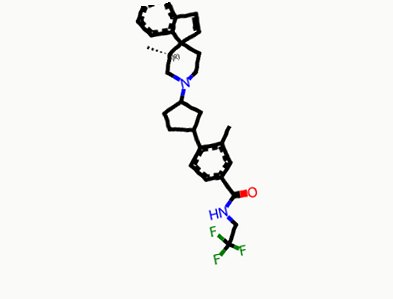 Cc1cc(C(=O)NCC(F)(F)F)ccc1C1CCC(N2CCC3(C=Cc4ccccc43)[C@@H](C)C2)C1